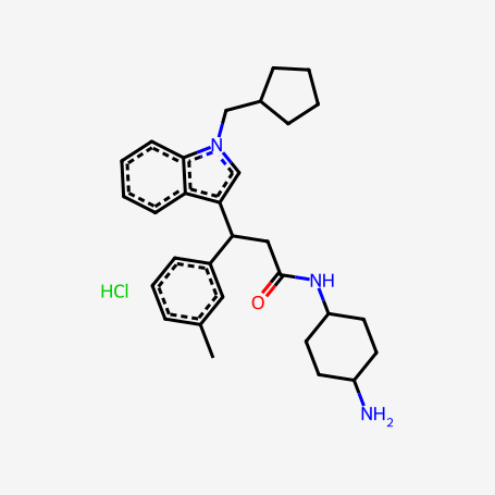 Cc1cccc(C(CC(=O)NC2CCC(N)CC2)c2cn(CC3CCCC3)c3ccccc23)c1.Cl